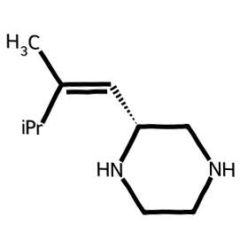 C/C(=C/[C@@H]1CNCCN1)C(C)C